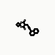 O=C1OC2(CCC2)OC(=O)C1=CC#Cc1cccc2ccccc12